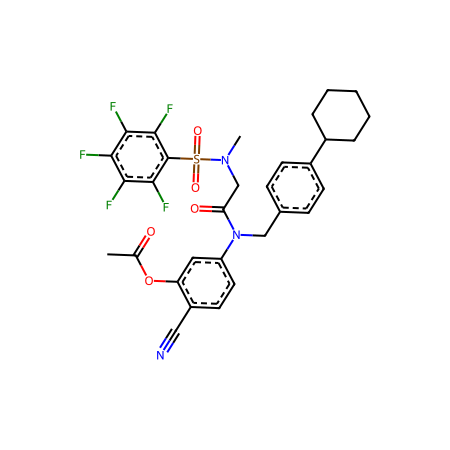 CC(=O)Oc1cc(N(Cc2ccc(C3CCCCC3)cc2)C(=O)CN(C)S(=O)(=O)c2c(F)c(F)c(F)c(F)c2F)ccc1C#N